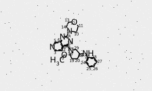 COc1cncc2nc(N3CCOCC3)nc(N3CCC[C@H](Nc4ccccc4)C3)c12